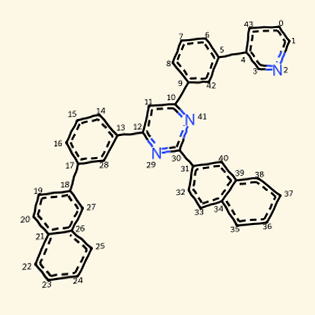 c1cncc(-c2cccc(-c3cc(-c4cccc(-c5ccc6ccccc6c5)c4)nc(-c4ccc5ccccc5c4)n3)c2)c1